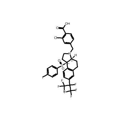 O=C(O)c1ccc(CN2CC[C@@]3(S(=O)(=O)c4ccc(I)cc4)c4ccc(C(F)(C(F)(F)F)C(F)(F)F)cc4CC[C@@H]23)cc1Cl